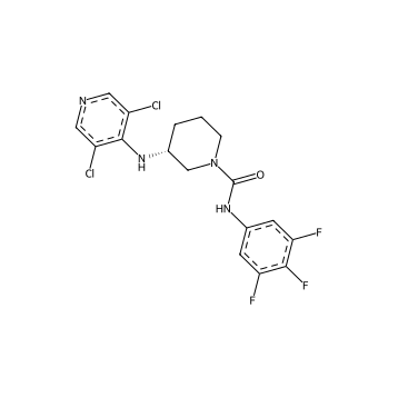 O=C(Nc1cc(F)c(F)c(F)c1)N1CCC[C@@H](Nc2c(Cl)cncc2Cl)C1